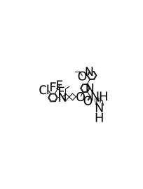 CCOc1ncccc1-c1ccc(OC2CC3(C2)CN(c2cccc(Cl)c2C(F)(F)F)C3CC)c(C(=O)N[C@@H]2CCNC2)n1